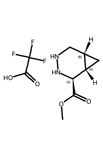 COC(=O)[C@H]1NNC[C@@H]2C[C@@H]21.O=C(O)C(F)(F)F